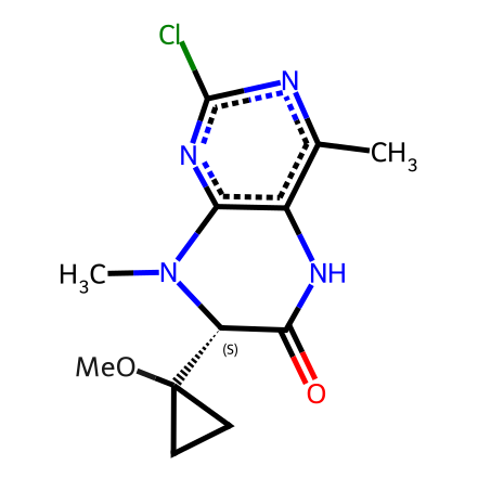 COC1([C@H]2C(=O)Nc3c(C)nc(Cl)nc3N2C)CC1